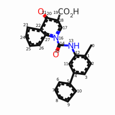 Cc1ccc(-c2ccccc2)cc1NC(=O)n1cc(C(=O)O)c(=O)c2ccccc21